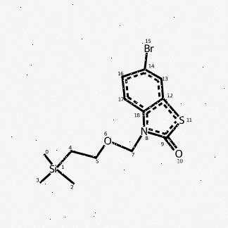 C[Si](C)(C)CCOCn1c(=O)sc2cc(Br)ccc21